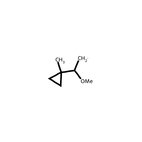 [CH2]C(OC)C1(C)CC1